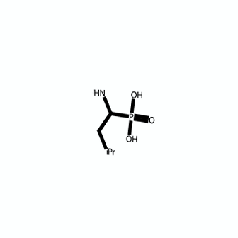 CC(C)CC([NH])P(=O)(O)O